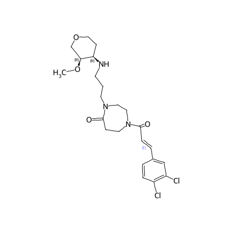 CO[C@H]1COCC[C@H]1NCCCN1CCN(C(=O)/C=C/c2ccc(Cl)c(Cl)c2)CCC1=O